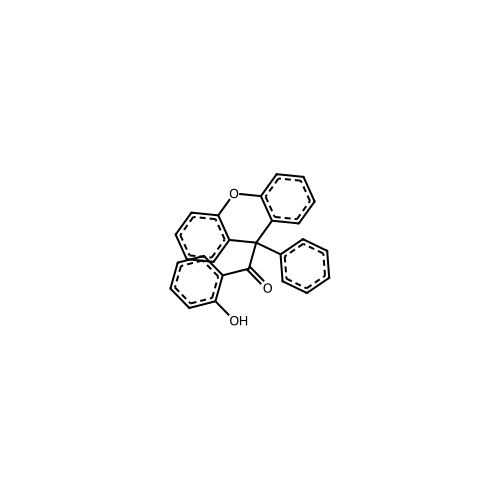 O=C(c1ccccc1O)C1(c2ccccc2)c2ccccc2Oc2ccccc21